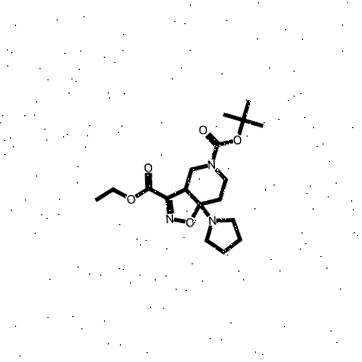 CCOC(=O)C1=NOC2(N3CCCC3)CCN(C(=O)OC(C)(C)C)CC12